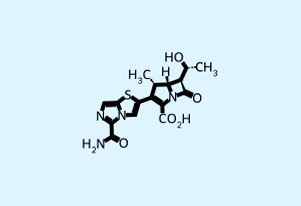 C[C@@H](O)[C@H]1C(=O)N2C(C(=O)O)=C(c3cn4c(C(N)=O)ncc4s3)[C@H](C)[C@H]12